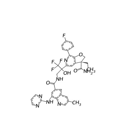 CC[C@]1(C(N)=O)COc2c1cc(C(O)(CNC(=O)c1cc(Nc3ncccn3)c3ncc(C)cc3c1)C(F)(F)F)nc2-c1ccc(F)cc1